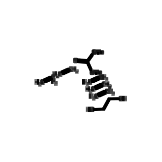 C=C.C=C.C=C.C=C.C=C.COC(=O)OC.OCCO